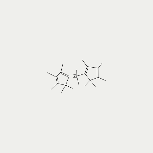 CC1=C(C)C(C)(C)[C]([Zr]([CH3])([CH3])[C]2=C(C)C(C)=C(C)C2(C)C)=C1C